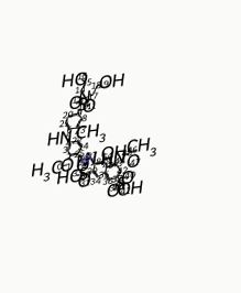 COc1cc(Nc2ccc(S(=O)(=O)N(CCO)CCO)cc2)c(C)cc1/N=N/c1c(S(=O)(=O)O)cc2cc(S(=O)(=O)O)cc(NC(C)=O)c2c1O